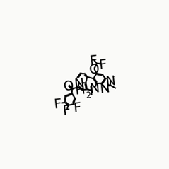 Cc1nc2c(N)c(-c3cccn4c(C(=O)c5cc(F)c(F)c(F)c5)cc(I)c34)c(OC(F)F)cc2n1C